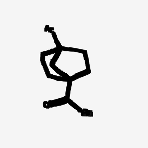 CC(=O)C12CCC(C(=O)C(C)(C)C)(CC1)C2